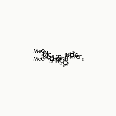 COc1cc(OC)nc(Oc2cccc(C(=O)N[C@@H](CC3CCCCC3)C(=O)NCCNc3ccc(OC(F)(F)F)cc3)c2)n1